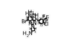 Cl.NC1CCN(c2nc(Nc3ccc(Cl)c(C(F)(F)F)c3)c3c(=O)[nH]cc(Br)c3n2)C1